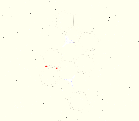 c1ccc(N(c2ccccc2)c2ccccc2-c2ccccc2-n2c3ccccc3c3ccccc32)cc1